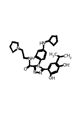 CC(C)c1cc(-c2nnc(C(=O)NCCN3CCCC3)n2-c2ccc(NC3CCCC3)cc2)c(O)cc1O